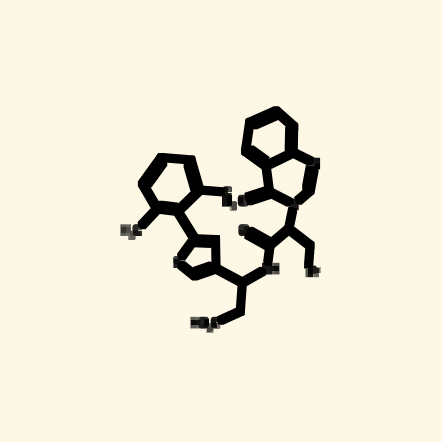 Cc1cccc(C)c1-c1cc(C(CC(=O)O)NC(=O)C(CC(C)C)n2cnc3ccccc3c2=O)cs1